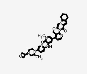 CC1CN(C2COC2)CCN1c1ccc(Nc2cc(-c3ccnc(-n4ccn5c6c(cc5c4=O)CCCC6)c3CO)cn(C)c2=O)nc1